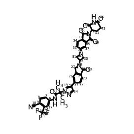 CC(C)(C(=O)Nc1ccc(C#N)c(C(F)(F)F)c1)n1cc(-c2ccc3c(c2)CN(C2CN(c4ccc5c(c4)C(=O)N(C4CCC(=O)NC4=O)C5=O)C2)C3=O)cn1